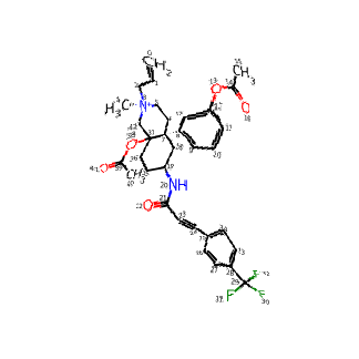 C=CC[N@@+]1(C)CC[C@@]2(c3cccc(OC(C)=O)c3)C[C@@H](NC(=O)C#Cc3ccc(C(F)(F)F)cc3)CCC2(OC(C)=O)C1